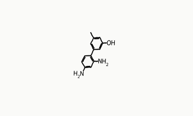 Cc1cc(O)cc(-c2ccc(N)cc2N)c1